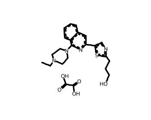 CCN1CCN(c2nc(-c3cnc(CCCO)s3)cc3ccccc23)CC1.O=C(O)C(=O)O